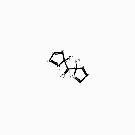 O=C(C1(F)C=CC=N1)C1(F)C=CC=N1